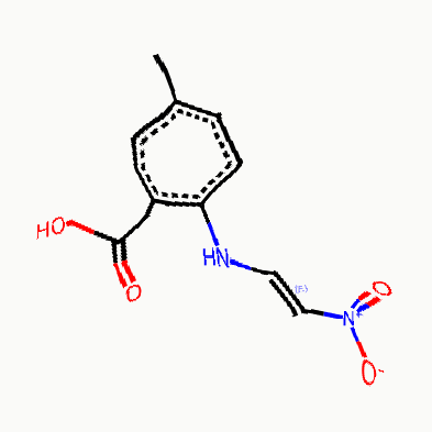 Cc1ccc(N/C=C/[N+](=O)[O-])c(C(=O)O)c1